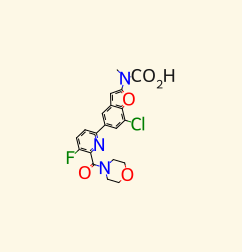 CN(C(=O)O)c1cc2cc(-c3ccc(F)c(C(=O)N4CCOCC4)n3)cc(Cl)c2o1